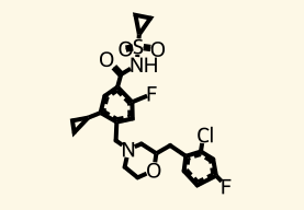 O=C(NS(=O)(=O)C1CC1)c1cc(C2CC2)c(CN2CCOC(Cc3ccc(F)cc3Cl)C2)cc1F